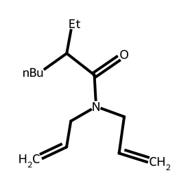 C=CCN(CC=C)C(=O)C(CC)CCCC